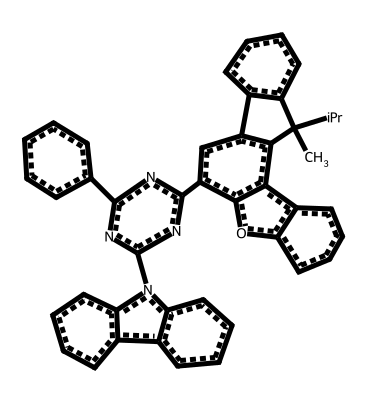 CC(C)C1(C)c2ccccc2-c2cc(-c3nc(-c4ccccc4)nc(-n4c5ccccc5c5ccccc54)n3)c3oc4ccccc4c3c21